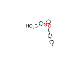 Cc1ccc(-c2ccc(C#CCOc3ccccc3Oc3cccc(CC(=O)O)c3)cc2)cc1